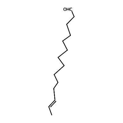 CC=CCCCCCCCCCCC=O